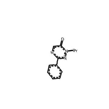 CC(C)n1nc(-c2ccccc2)ncc1=O